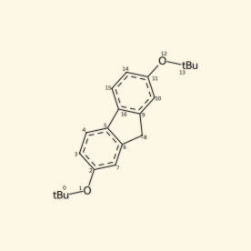 CC(C)(C)Oc1ccc2c(c1)[CH]c1cc(OC(C)(C)C)ccc1-2